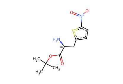 CC(C)(C)OC(=O)[C@@H](N)Cc1ccc([N+](=O)[O-])s1